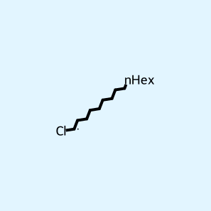 CCCCCCCCCCCCCC[CH]Cl